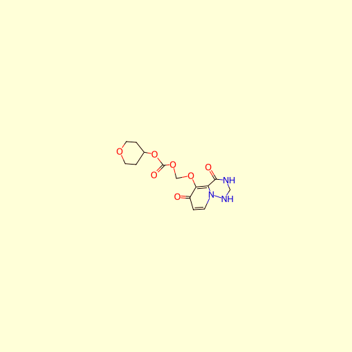 O=C(OCOc1c2n(ccc1=O)NCNC2=O)OC1CCOCC1